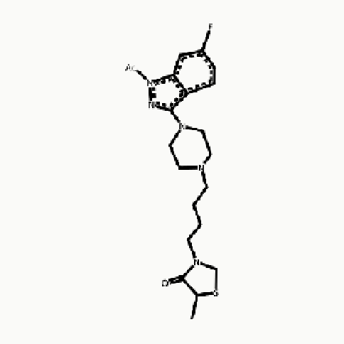 CC(=O)n1nc(N2CCN(CCCCN3CSC(C)C3=O)CC2)c2ccc(F)cc21